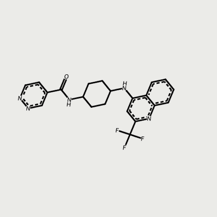 O=C(NC1CCC(Nc2cc(C(F)(F)F)nc3ccccc23)CC1)c1ccnnc1